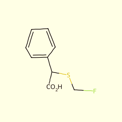 O=C(O)C(SCF)c1ccccc1